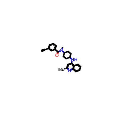 C#Cc1cccc(C(=O)N(C)C2CCC(Nc3cc(C(C)(C)C)nc4ccccc34)CC2)c1